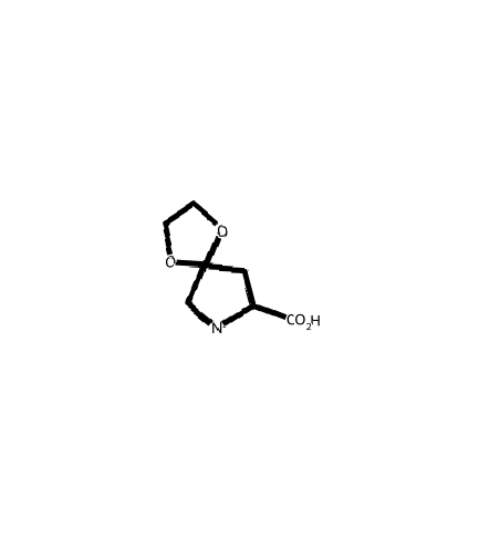 O=C(O)C1CC2(C[N]1)OCCO2